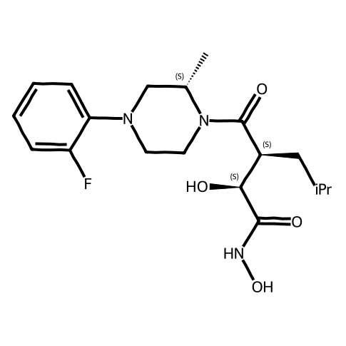 CC(C)C[C@H](C(=O)N1CCN(c2ccccc2F)C[C@@H]1C)[C@H](O)C(=O)NO